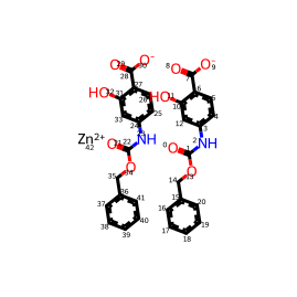 O=C(Nc1ccc(C(=O)[O-])c(O)c1)OCc1ccccc1.O=C(Nc1ccc(C(=O)[O-])c(O)c1)OCc1ccccc1.[Zn+2]